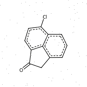 O=C1Cc2cccc3c(Cl)ccc1c23